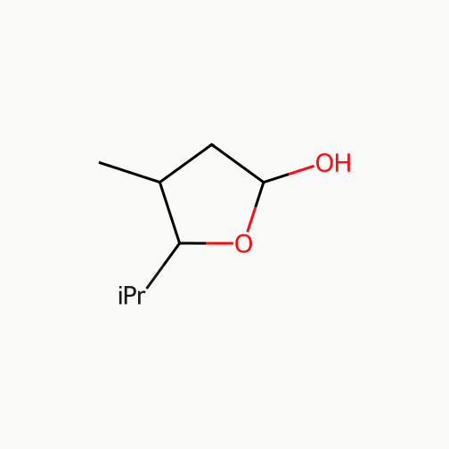 CC(C)C1OC(O)CC1C